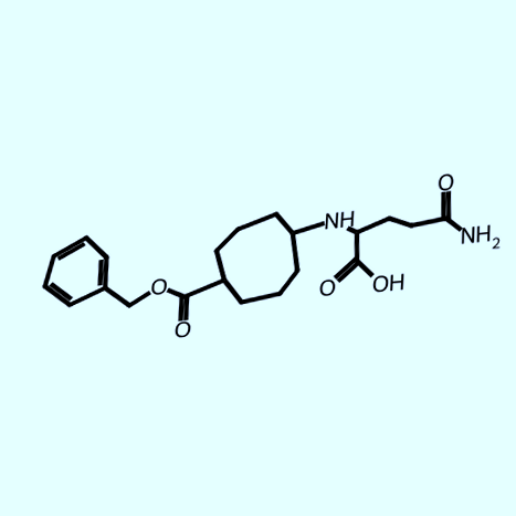 NC(=O)CCC(NC1CCCC(C(=O)OCc2ccccc2)CCC1)C(=O)O